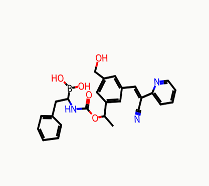 CC(OC(=O)NC(Cc1ccccc1)B(O)O)c1cc(C=C(C#N)c2ccccn2)cc(CO)c1